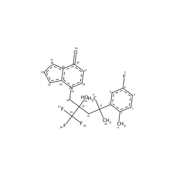 Cc1ccc(F)cc1C(C)(C)CC(O)(Cn1ccc(=O)c2sccc21)C(F)(F)F